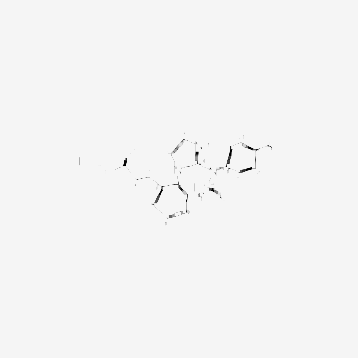 COC(=O)CCc1cc[c]cc1-n1ccnc1N(c1ccc(Cl)cc1)[SH](=O)=O